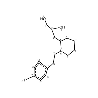 OCC(O)[CH]C1CCCCN1CCc1ccc(F)cc1